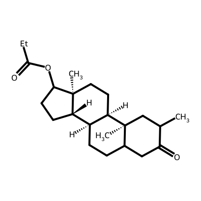 CCC(=O)OC1CC[C@H]2[C@@H]3CCC4CC(=O)C(C)C[C@]4(C)[C@@H]3CC[C@]12C